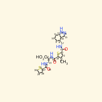 Cc1cc(C(=O)NCc2cccc3[nH]ncc23)sc1C(=O)N[C@@H](CNC(=O)c1cccs1)C(=O)O